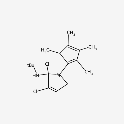 CC1=C(C)C(C)C([Si]2CC=C(Cl)C2(Cl)NC(C)(C)C)=C1C